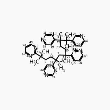 CC(C)(CCC(C)(CC(C)(CCC(C)(c1ccncc1)C(C)(C)c1cccnc1)c1cccnn1)c1ccncn1)c1ncccn1